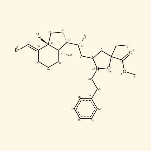 CCC1(C(=O)OC)CC(C[C@@H](C)[C@H]2CC[C@H]3/C(=C/Br)CCC[C@]23C)N(CCc2ccccc2)O1